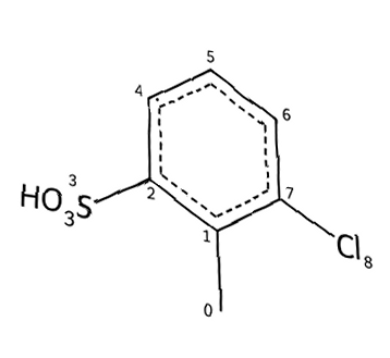 Cc1c(S(=O)(=O)O)[c]ccc1Cl